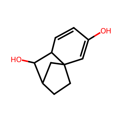 OC1=CC23CCC(C2)C(O)C3C=C1